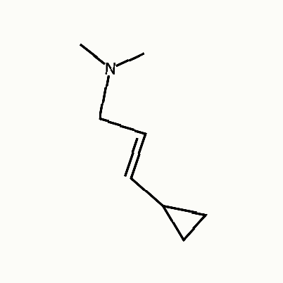 CN(C)CC=CC1CC1